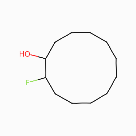 OC1CCCCCCCCCCC1F